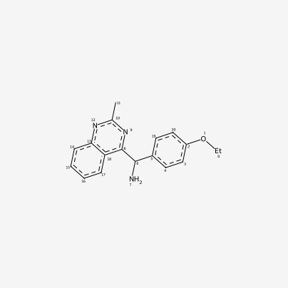 CCOc1ccc(C(N)c2nc(C)nc3ccccc23)cc1